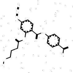 [N-]=[N+]=Nc1ccc(C(=O)Oc2ccc(C(N)=S)cc2)c(OC(=O)CCCO[N+](=O)[O-])c1